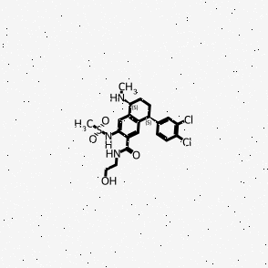 CN[C@H]1CC[C@@H](c2ccc(Cl)c(Cl)c2)c2cc(C(=O)NCCO)c(NS(C)(=O)=O)cc21